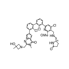 COc1nc(-c2cccc(-c3cccc(-c4cc5c(=O)n(C)c(CN6CC(C)(O)C6)nn5c4)c3Cl)c2Cl)cc(Cl)c1CNC[C@H]1CCC(=O)N1